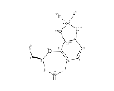 CC[C@@H]1CNCc2ccc3c(c2O1)OC(F)(F)O3